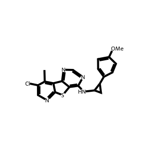 COc1ccc(C2CC2Nc2ncnc3c2sc2ncc(Cl)c(C)c23)cc1